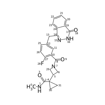 CNC(=O)C1(C2CN(C(=O)c3cc(Cc4n[nH]c(=O)c5ccccc45)ccc3F)C2)CC1